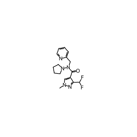 Cn1cc(C(=O)N(Cc2ccccn2)N2CCCC2)c(C(F)F)n1